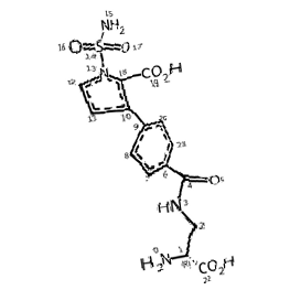 N[C@H](CNC(=O)c1ccc(-c2ccn(S(N)(=O)=O)c2C(=O)O)cc1)C(=O)O